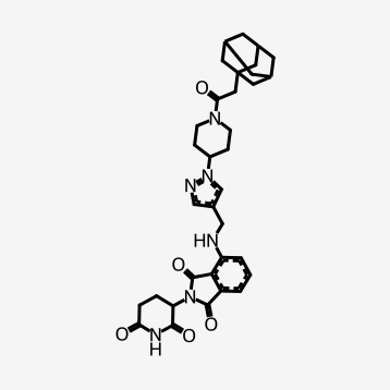 O=C1CCC(N2C(=O)c3cccc(NCc4cnn(C5CCN(C(=O)CC67CC8CC(CC(C8)C6)C7)CC5)c4)c3C2=O)C(=O)N1